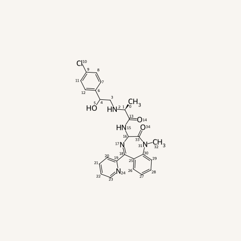 C[C@H](NCC(O)c1ccc(Cl)cc1)C(=O)NC1N=C(c2ccccn2)c2ccccc2N(C)C1=O